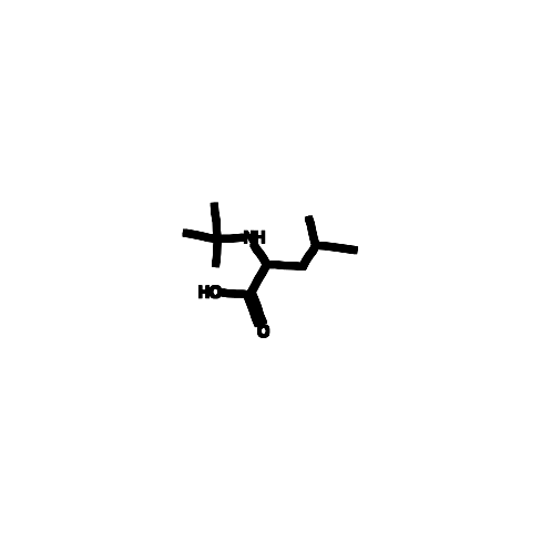 CC(C)CC(NC(C)(C)C)C(=O)O